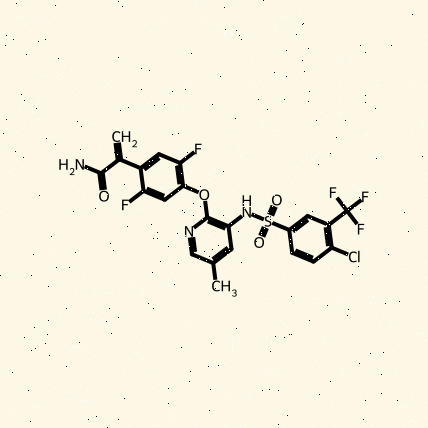 C=C(C(N)=O)c1cc(F)c(Oc2ncc(C)cc2NS(=O)(=O)c2ccc(Cl)c(C(F)(F)F)c2)cc1F